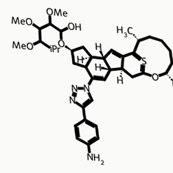 CC[C@H]1CCCC[C@@H](C)C2=S=C(C[C@@H]3C2=C[C@@H]2[C@H]3C=C(n3cc(-c4ccc(N)cc4)nn3)C3C[C@@H](OC(O)C(OC)C(OC)C(OC)C(C)C)C[C@H]32)O1